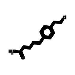 NC(=O)C=CC=Cc1ccc(CCCl)cc1